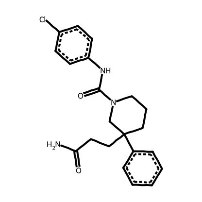 NC(=O)CCC1(c2ccccc2)CCCN(C(=O)Nc2ccc(Cl)cc2)C1